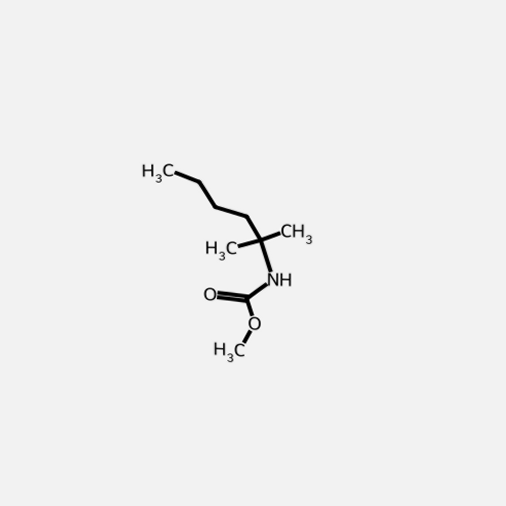 CCCCC(C)(C)NC(=O)OC